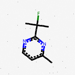 Cc1ccnc(C(C)(C)F)n1